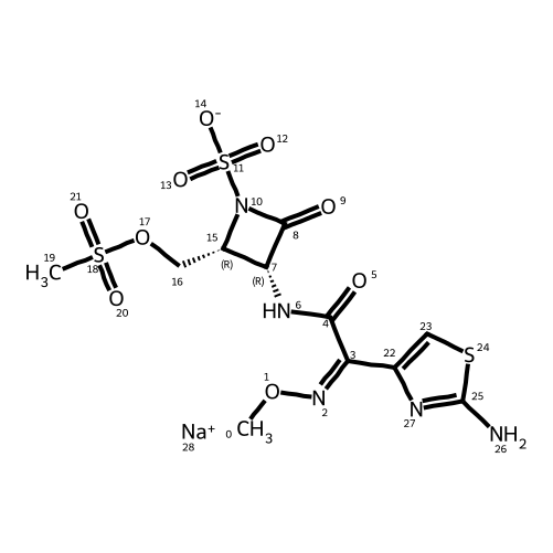 CON=C(C(=O)N[C@H]1C(=O)N(S(=O)(=O)[O-])[C@H]1COS(C)(=O)=O)c1csc(N)n1.[Na+]